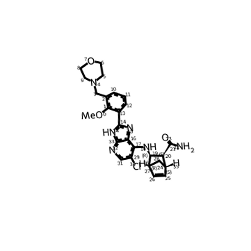 COc1c(CN2CCOCC2)cccc1-c1nc2c(N[C@H]3[C@@H](C(N)=O)[C@@H]4C=C[C@H]3C4)c(Cl)cnc2[nH]1